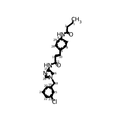 CCCC(=O)Nc1ccc(/C=C/C(=O)Nc2cn(Cc3cccc(Cl)c3)cn2)cc1